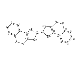 c1ccc2c(c1)CCC1=C2SC(C2SC3=C(S2)c2ccccc2CC3)S1